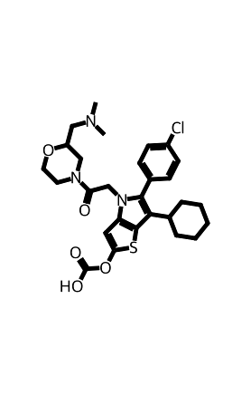 CN(C)CC1CN(C(=O)Cn2c(-c3ccc(Cl)cc3)c(C3CCCCC3)c3sc(OC(=O)O)cc32)CCO1